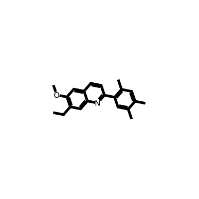 CCc1cc2nc(-c3cc(C)c(C)cc3C)ccc2cc1OC